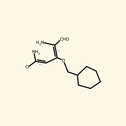 N/C(Cl)=C\C(OCC1CCCCC1)=C(/N)C=O